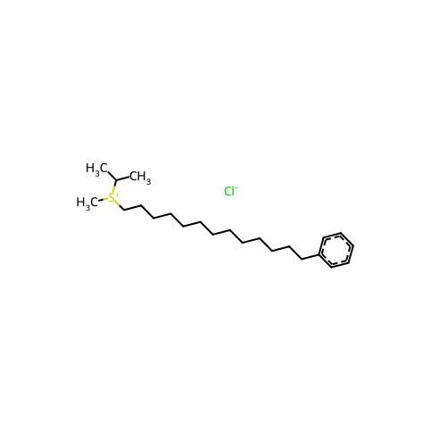 CC(C)[S+](C)CCCCCCCCCCCCCc1ccccc1.[Cl-]